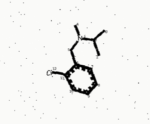 CC(C)N(C)Cc1ccccc1Cl